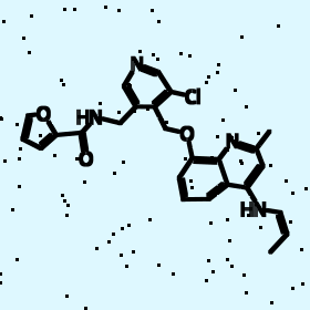 C/C=C\Nc1cc(C)nc2c(OCc3c(Cl)cncc3CNC(=O)c3ccco3)cccc12